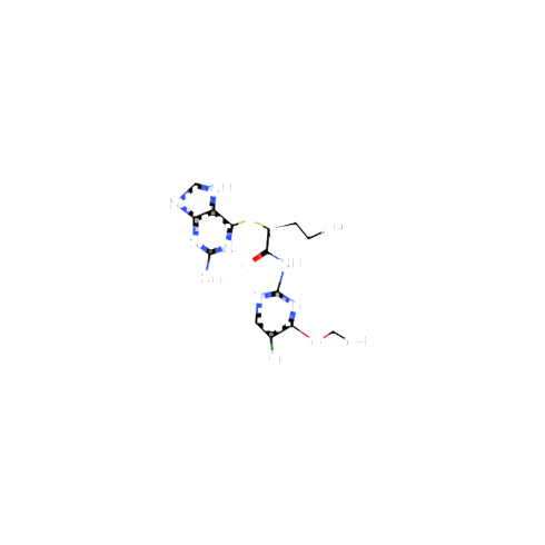 CCC[C@H](Sc1nc(N)nc2nc[nH]c12)C(=O)Nc1ncc(Cl)c(OCC)n1